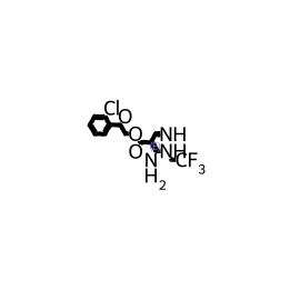 N=C/C(C(=O)OCC(=O)c1ccccc1Cl)=C(/N)NCC(F)(F)F